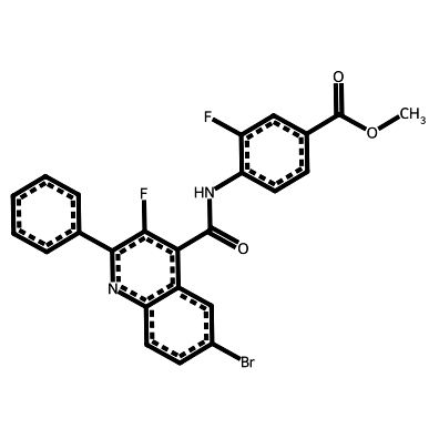 COC(=O)c1ccc(NC(=O)c2c(F)c(-c3ccccc3)nc3ccc(Br)cc23)c(F)c1